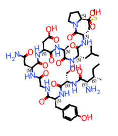 CC[C@H](C)[C@H](N)C(=O)N[C@@H](CO)C(=O)N[C@@H](Cc1ccc(O)cc1)C(=O)NCC(=O)N[C@@H](CC(N)=O)C(=O)N[C@@H](CC(=O)O)C(=O)N[C@@H](C)C(=O)N[C@@H](CC(C)C)C(=O)N[C@@H](CCSC)C(=O)N1CCC[C@H]1C(=O)O